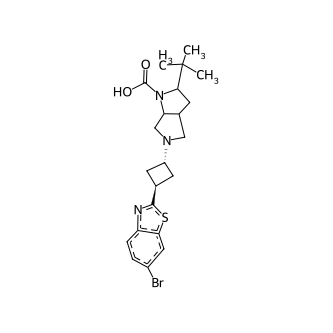 CC(C)(C)C1CC2CN([C@H]3C[C@H](c4nc5ccc(Br)cc5s4)C3)CC2N1C(=O)O